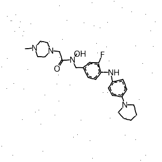 CN1CCN(CC(=O)N(O)Cc2ccc(Nc3ccc(N4CCCCC4)cc3)c(F)c2)CC1